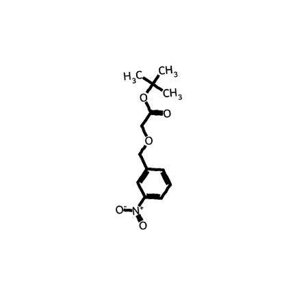 CC(C)(C)OC(=O)COCc1cccc([N+](=O)[O-])c1